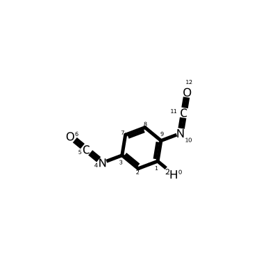 [2H]c1cc(N=C=O)ccc1N=C=O